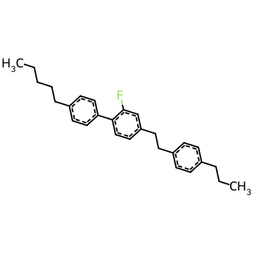 CCCCCc1ccc(-c2ccc(CCc3ccc(CCC)cc3)cc2F)cc1